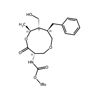 C[C@@H]1OC(=O)[C@@H](NC(=O)OC(C)(C)C)COC[C@H](Cc2ccccc2)[C@H]1CO